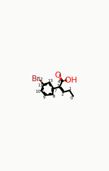 CCC=C(C(=O)O)c1cccc(Br)c1